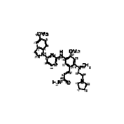 COc1ccc2c(cnn2-c2ccnc(Nc3cc(C=CC(N)=O)c(N(C)CCN4CCCC4)cc3OC)n2)c1